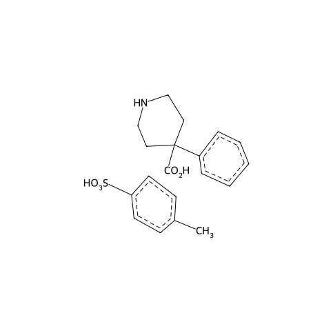 Cc1ccc(S(=O)(=O)O)cc1.O=C(O)C1(c2ccccc2)CCNCC1